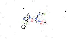 C[C@@H]1CN(CC(=O)N2CC(C)(C)c3cnc(C(F)(F)c4ccccc4)cc32)[C@@H](CN2CC[C@@H](F)C2)CN1C(=O)OC(C)(C)C